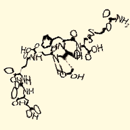 NC(=O)OCCSSC[C@H](NC(=O)[C@H](Cc1ccccc1)NC(=O)[C@H](CC(=O)O)NC(=O)CC[C@H](NC(=O)CC[C@H](NC(=O)N[C@@H](CCC(=O)O)C(=O)O)C(=O)O)C(=O)O)C(=O)O